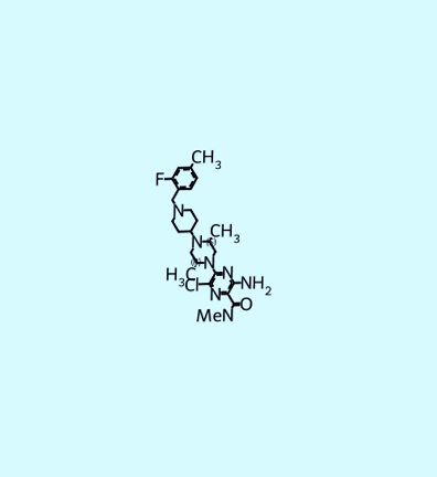 CNC(=O)c1nc(Cl)c(N2C[C@H](C)N(C3CCN(Cc4ccc(C)cc4F)CC3)C[C@H]2C)nc1N